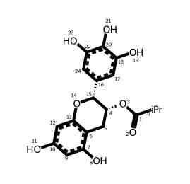 CC(C)C(=O)O[C@@H]1Cc2c(O)cc(O)cc2O[C@@H]1c1cc(O)c(O)c(O)c1